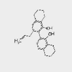 C=CCc1cc2c(c(O)c1-c1ccc3c(c1O)CCCC3)CCCC2